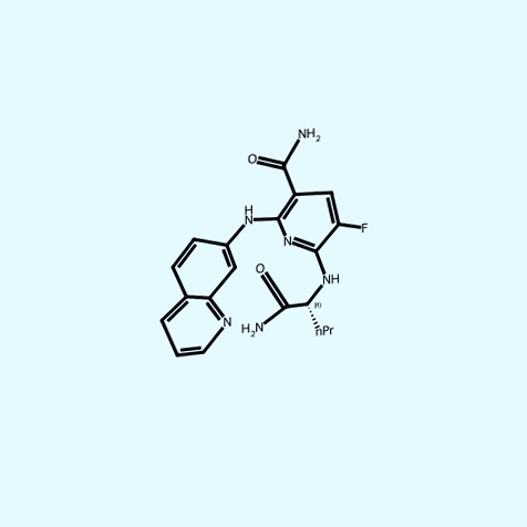 CCC[C@@H](Nc1nc(Nc2ccc3cccnc3c2)c(C(N)=O)cc1F)C(N)=O